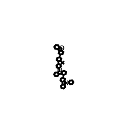 CC1(C)c2cc(-c3ccc4oc5ccccc5c4c3)ccc2-c2ccc(-n3c4ccccc4c4c(-c5ccc6c7ccccc7n(-c7ccccc7)c6c5)cccc43)cc21